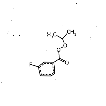 CC(C)OOC(=O)c1cccc(F)c1